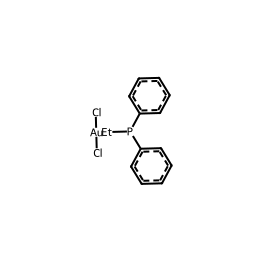 CCP(c1ccccc1)c1ccccc1.[Cl][Au][Cl]